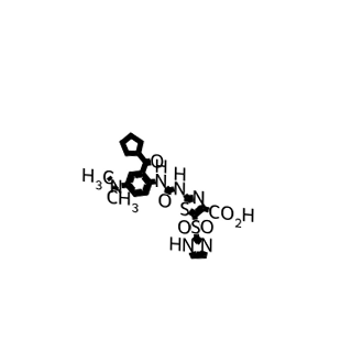 CN(C)c1ccc(NC(=O)Nc2nc(C(=O)O)c(S(=O)(=O)c3ncc[nH]3)s2)c(C(=O)C2CCCC2)c1